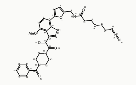 COc1ccc(-c2ccc(CNC(=O)CCOCCN=[N+]=[N-])o2)c2[nH]cc(C(=O)C(=O)N3CCN(C(=O)c4ccccc4)CC3)c12